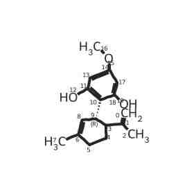 C=C(C)C1CCC(C)=C[C@@H]1c1c(O)cc(OC)cc1O